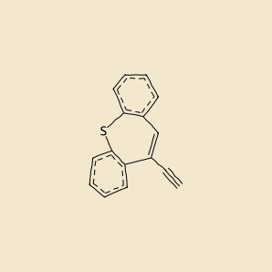 C#CC1=Cc2ccccc2Sc2ccccc21